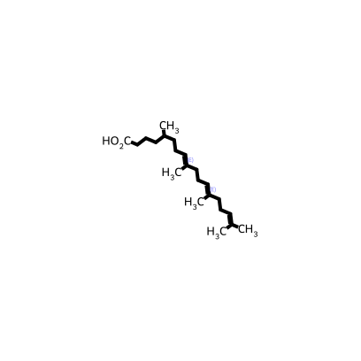 CC(C)=CCC/C(C)=C/CC/C(C)=C/CCC(C)CCCC(=O)O